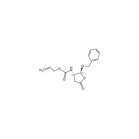 C=CCOC(=O)N[C@H]1CC(=O)O[C@@H]1OCc1ccccc1